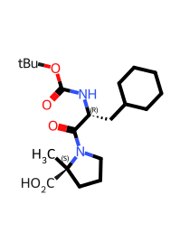 CC(C)(C)OC(=O)N[C@H](CC1CCCCC1)C(=O)N1CCC[C@@]1(C)C(=O)O